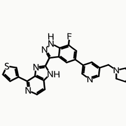 Fc1cc(-c2cncc(CN3CCCC3)c2)cc2c(-c3nc4c(-c5ccsc5)nccc4[nH]3)n[nH]c12